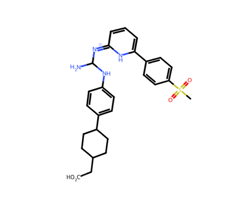 CS(=O)(=O)c1ccc(-c2ccc/c(=N/C(N)Nc3ccc(C4CCC(CC(=O)O)CC4)cc3)[nH]2)cc1